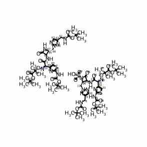 CC(C)(C)OC(=O)NCc1cnn(C[C@@H]2[C@H](NC(=O)/C(=N\OC(C)(C)C(=O)OC(C)(C)C)c3csc(NC(=O)OC(C)(C)C)n3)C(=O)N2S(=O)(=O)O)n1.CC(C)(C)OC(=O)NCc1cnn(C[C@H]2NC(=O)[C@H]2NC(=O)/C(=N\OC(C)(C)C(=O)OC(C)(C)C)c2csc(NC(=O)OC(C)(C)C)n2)n1